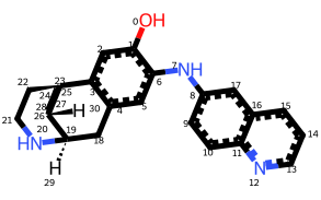 Oc1cc2c(cc1Nc1ccc3ncccc3c1)C[C@H]1NCC[C@@]23CCCC[C@@H]13